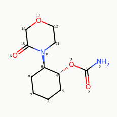 NC(=O)O[C@@H]1CCCC[C@H]1N1CCOCC1=O